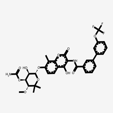 CO[C@@H]1[C@@H](OC(N)=O)[C@@H](O)[C@H](Oc2ccc3c(O)c(NC(=O)c4cccc(-c5cccc(OC(F)(F)F)c5)c4)c(=O)oc3c2C)OC1(C)C